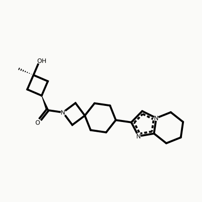 C[C@]1(O)C[C@@H](C(=O)N2CC3(CCC(c4cn5c(n4)CCCC5)CC3)C2)C1